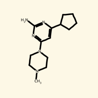 CN1CCN(c2cc(C3CCCC3)nc(N)n2)CC1